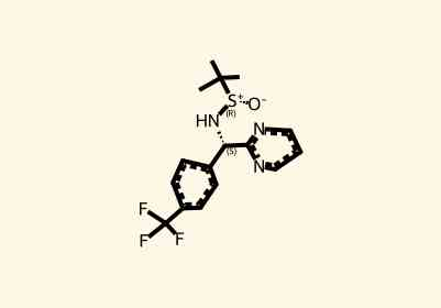 CC(C)(C)[S@+]([O-])N[C@@H](c1ccc(C(F)(F)F)cc1)c1ncccn1